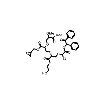 CCC(OCC(OCC(OCC(OC)C(=O)OC)C(=O)OCC1CO1)C(=O)OCCO)C(=O)OC(C(=O)c1ccccc1)c1ccccc1